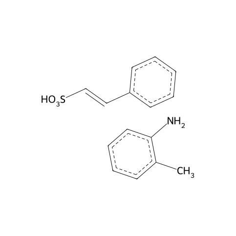 Cc1ccccc1N.O=S(=O)(O)C=Cc1ccccc1